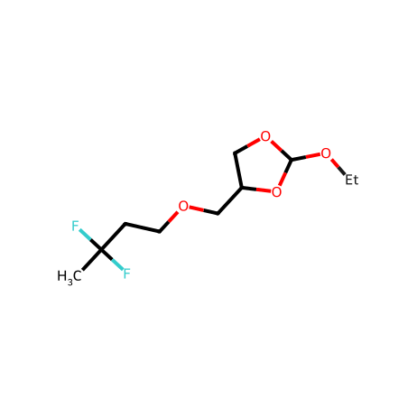 CCOC1OCC(COCCC(C)(F)F)O1